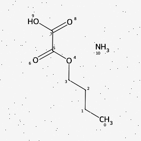 CCCCOC(=O)C(=O)O.N